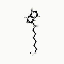 NCCCCCCNc1nsc2nccn12